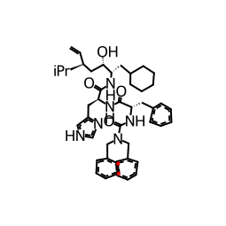 C=C[C@@H](C[C@H](O)[C@H](CC1CCCCC1)NC(=O)[C@H](Cc1c[nH]cn1)NC(=O)[C@H](Cc1ccccc1)NC(=O)N(Cc1ccccc1)Cc1ccccc1)C(C)C